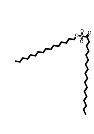 CCCCCCCCCCCCCCCCCC(=O)S(=O)(=O)OCCCCCCCCCCCCCCCC